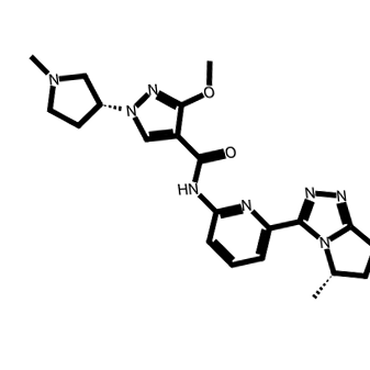 COc1nn([C@@H]2CCN(C)C2)cc1C(=O)Nc1cccc(-c2nnc3n2[C@@H](C)CC3)n1